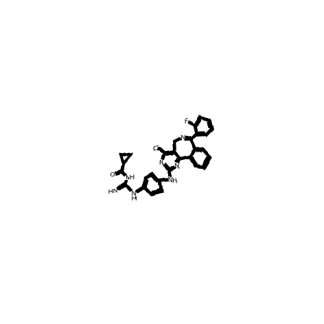 N=C(NC(=O)C1CC1)Nc1ccc(Nc2nc(Cl)c3c(n2)-c2ccccc2C(c2ccccc2F)=NC3)cc1